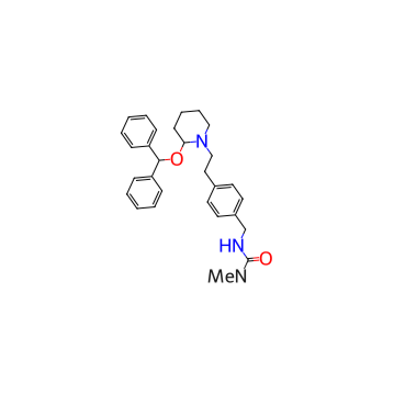 CNC(=O)NCc1ccc(CCN2CCCCC2OC(c2ccccc2)c2ccccc2)cc1